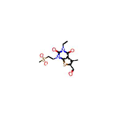 CCn1c(=O)c2c(C)c(C=O)sc2n(CCS(C)(=O)=O)c1=O